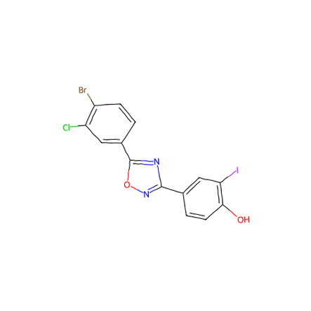 Oc1ccc(-c2noc(-c3ccc(Br)c(Cl)c3)n2)cc1I